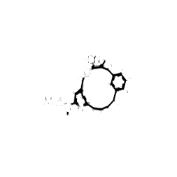 CSN(C)c1cc2cc(n1)CCCCc1cccc(c1)CC(C)(N)C(=O)OC2